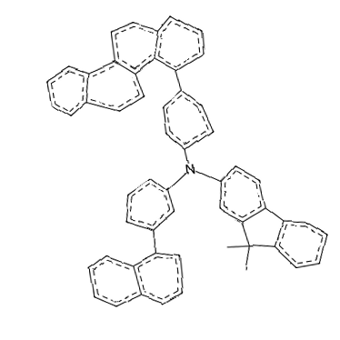 CC1(C)c2ccccc2-c2ccc(N(c3ccc(-c4cccc5ccc6c7ccccc7ccc6c45)cc3)c3cccc(-c4cccc5ccccc45)c3)cc21